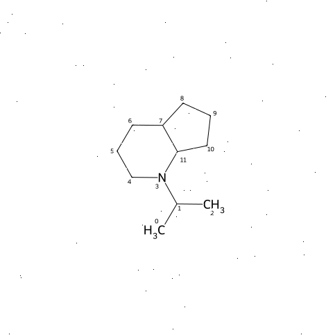 CC(C)N1CCCC2CCCC21